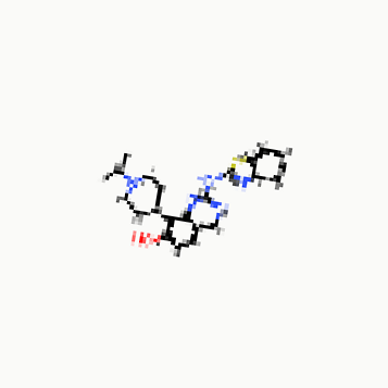 CC(C)N1CCC(c2c(O)ccc3cnc(Nc4nc5ccccc5s4)nc23)CC1